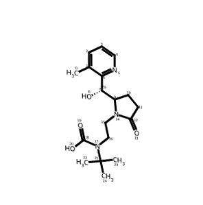 Cc1cccnc1[C@@H](O)C1CCC(=O)N1CCN(C(=O)O)C(C)(C)C